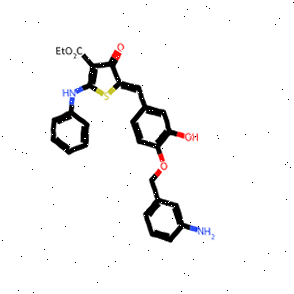 CCOC(=O)C1=C(Nc2ccccc2)S/C(=C\c2ccc(OCc3cccc(N)c3)c(O)c2)C1=O